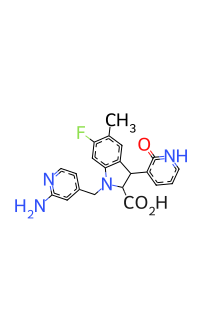 Cc1cc2c(cc1F)N(Cc1ccnc(N)c1)C(C(=O)O)C2c1ccc[nH]c1=O